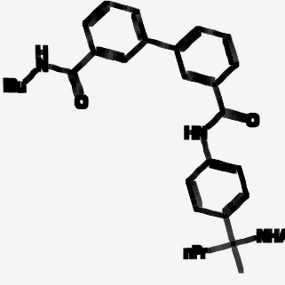 CCCC(C)(NC(C)=O)c1ccc(NC(=O)c2cccc(-c3cccc(C(=O)NC(C)CC)c3)c2)cc1